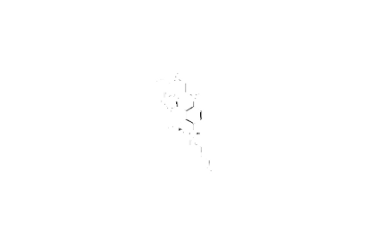 CN(CCO)CCN(C)c1ccc(S(=O)(=O)NC[C@H](O)CN)c(S(N)(=O)=O)c1-c1nn[nH]n1